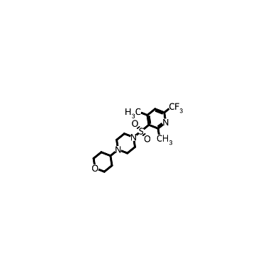 Cc1cc(C(F)(F)F)nc(C)c1S(=O)(=O)N1CCN(C2CCOCC2)CC1